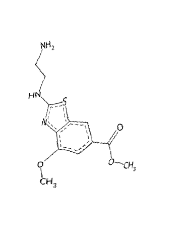 COC(=O)c1cc(OC)c2nc(NCCN)sc2c1